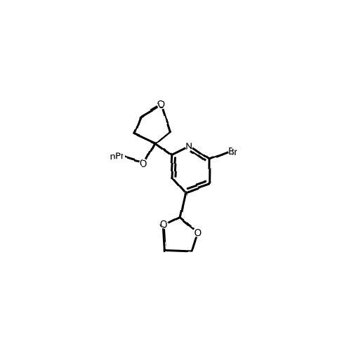 CCCOC1(c2cc(C3OCCO3)cc(Br)n2)CCOC1